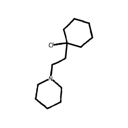 ClC1(CCN2CCCCC2)CCCCC1